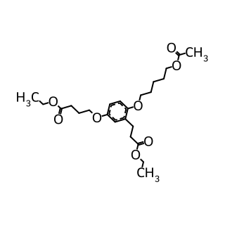 CCOC(=O)CCCOc1ccc(OCCCCCOC(C)=O)c(CCC(=O)OCC)c1